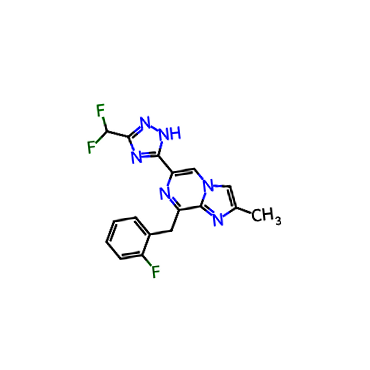 Cc1cn2cc(-c3nc(C(F)F)n[nH]3)nc(Cc3ccccc3F)c2n1